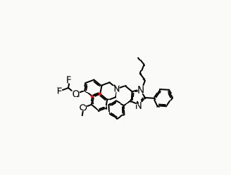 CCCCn1c(-c2ccccc2)nc(-c2ccccc2)c1CN(Cc1ccc(OC)cc1)Cc1ccc(OC(F)F)cc1